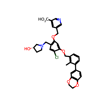 Cc1c(COc2cc(OCc3cncc(C(=O)O)c3)c(CN3CC[C@H](O)C3)cc2Cl)cccc1-c1ccc2c(c1)OCCO2